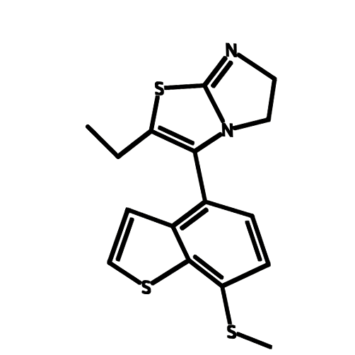 CCC1=C(c2ccc(SC)c3sccc23)N2CCN=C2S1